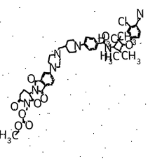 CCOC(=O)OCN1C(=O)CCC(N2C(=O)c3ccc(N4CCN(CC5CCN(c6ccc(C(=O)NC7C(C)(C)C(Oc8ccc(C#N)c(Cl)c8)C7(C)C)cc6)CC5)CC4)cc3C2=O)C1=O